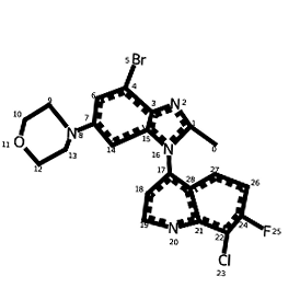 Cc1nc2c(Br)cc(N3CCOCC3)cc2n1-c1ccnc2c(Cl)c(F)ccc12